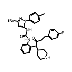 Cc1ccc(-n2nc(C(C)(C)C)cc2NC(=O)Nc2ccccc2C(C(=O)CCc2ccc(F)cc2)C2CCNCC2)cc1